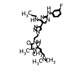 CCCNc1nc(Nc2cccc(F)c2)ncc1-c1cn(CCNC(=O)[C@H](C)N(C)C(=O)/C=C/CN(C)C)nn1